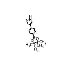 CC1(C)OB(c2ccc(-c3cn[nH]c3)cc2)OC1(C)C